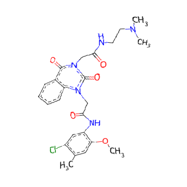 COc1cc(C)c(Cl)cc1NC(=O)Cn1c(=O)n(CC(=O)NCCN(C)C)c(=O)c2ccccc21